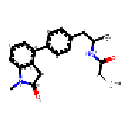 CCC[C@@H](C)CC(=O)NC(C#N)Cc1ccc(-c2cccc3c2CC(=O)N3C)cc1